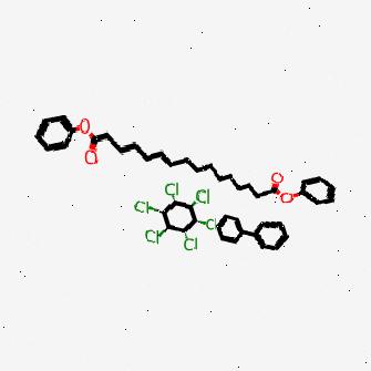 Cl[C@H]1[C@H](Cl)[C@@H](Cl)[C@@H](Cl)[C@H](Cl)[C@H]1Cl.O=C(CCCCCCCCCCCCCCC(=O)Oc1ccccc1)Oc1ccccc1.c1ccc(-c2ccccc2)cc1